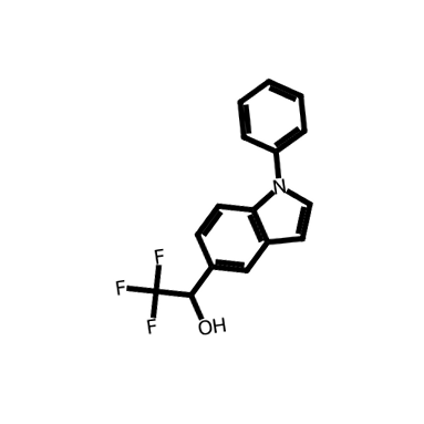 OC(c1ccc2c(ccn2-c2ccccc2)c1)C(F)(F)F